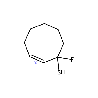 FC1(S)/C=C\CCCCC1